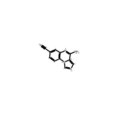 N#Cc1ccc2c(c1)nc(N)c1cncn12